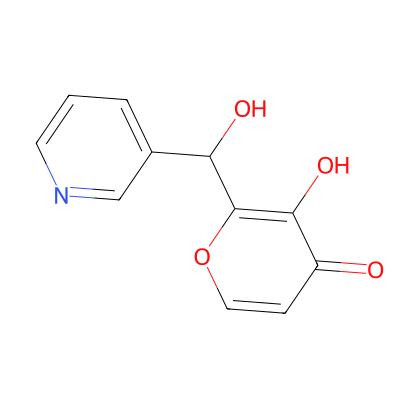 O=c1ccoc(C(O)c2cccnc2)c1O